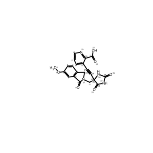 COc1ccc2c(c1)C(=O)N(C[C@@]1(C#Cc3cccnc3C(=O)O)NC(=O)NC1=O)C2